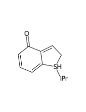 CC(C)[SH]1CC=C2C(=O)C=CC=C21